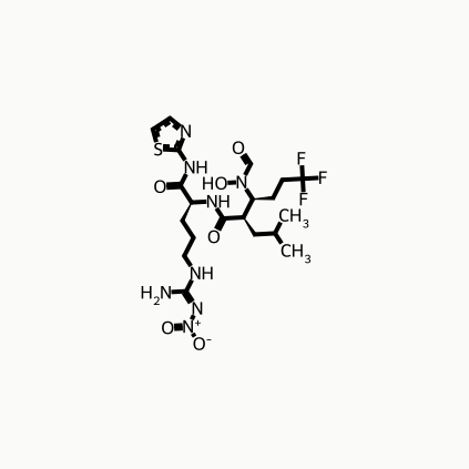 CC(C)C[C@@H](C(=O)N[C@@H](CCCN/C(N)=N/[N+](=O)[O-])C(=O)Nc1nccs1)[C@H](CCC(F)(F)F)N(O)C=O